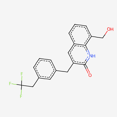 O=c1[nH]c2c(CO)cccc2cc1Cc1cccc(CC(F)(F)F)c1